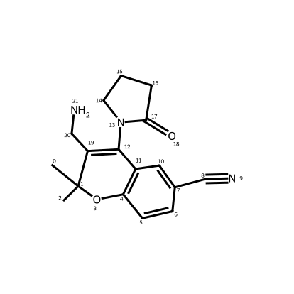 CC1(C)Oc2ccc(C#N)cc2C(N2CCCC2=O)=C1CN